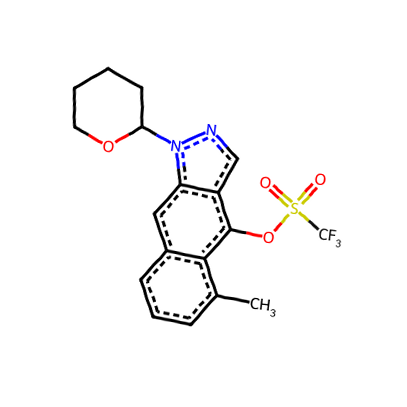 Cc1cccc2cc3c(cnn3C3CCCCO3)c(OS(=O)(=O)C(F)(F)F)c12